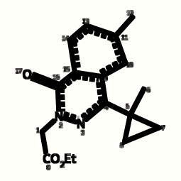 CCOC(=O)Cn1nc(C2(C)CC2)c2cc(C)ccc2c1=O